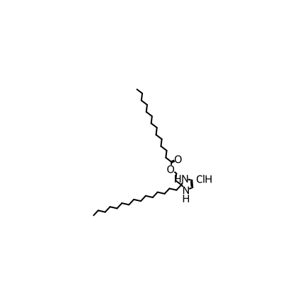 CCCCCCCCCCCCCCCC1(CCOC(=O)CCCCCCCCCCCCC)NC=CN1.Cl